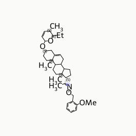 CC[C@H]1OC(O[C@H]2CC[C@@]3(C)C(=CCC4C3CC[C@@]3(C)C4CC[C@@H]3/C(C)=N/OCc3ccccc3OC)C2)C=C[C@@H]1C